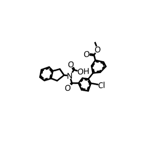 COC(=O)c1cccc(-c2cc(C(=O)N(C(=O)O)C3Cc4ccccc4C3)ccc2Cl)c1